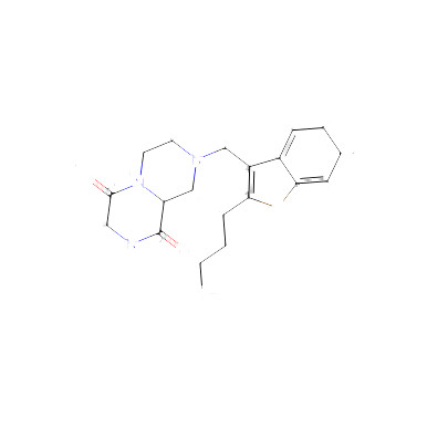 CCCCc1sc2c(c1CN1CCN3C(=O)CNC(=O)C3C1)=CCCC=2